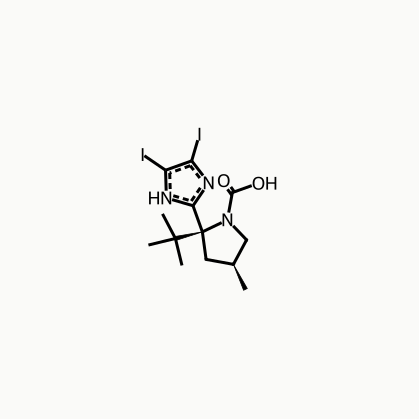 C[C@@H]1CN(C(=O)O)[C@](c2nc(I)c(I)[nH]2)(C(C)(C)C)C1